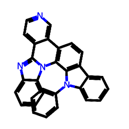 c1ccc(-n2c3ccccc3c3ccc4c5cnccc5c5nc6ccccc6n5c4c32)cc1